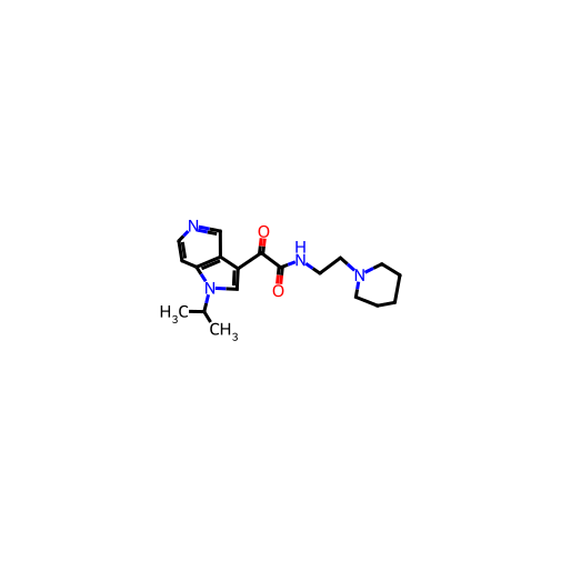 CC(C)n1cc(C(=O)C(=O)NCCN2CCCCC2)c2cnccc21